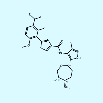 COc1ccc(C(F)F)c(F)c1-c1nc(C(=O)Nc2c(C)n[nH]c2[C@@H]2CC[C@@H](N)[C@H](F)CO2)cs1